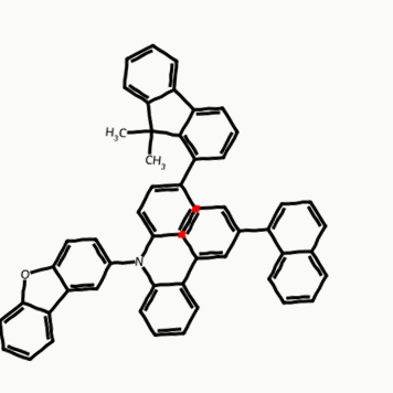 CC1(C)c2ccccc2-c2cccc(-c3ccc(N(c4ccc5oc6ccccc6c5c4)c4ccccc4-c4cccc(-c5cccc6ccccc56)c4)cc3)c21